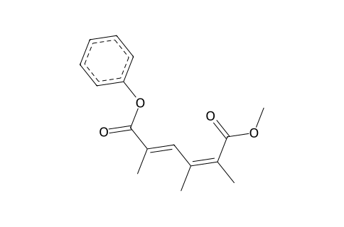 COC(=O)C(C)=C(C)C=C(C)C(=O)Oc1ccccc1